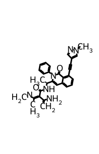 C=N/C(C)=C(/C(=C)N)C(=O)N[C@@H](C)c1cc2cccc(C#Cc3cnn(C)c3)c2c(=O)n1-c1ccccc1